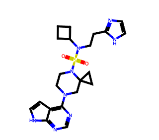 O=S(=O)(N(CCc1ncc[nH]1)C1CCC1)N1CCN(c2ncnc3[nH]ccc23)CC12CC2